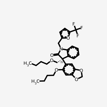 CCCCOC[C@]1(c2cc3c(cc2OCCCC)OCO3)C(=O)N(Cc2ccc(C(F)(F)F)o2)c2ccccc21